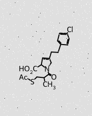 CC(=O)SCC(C)C(=O)N1CC(CCc2ccc(Cl)cc2)=CC1C(=O)O